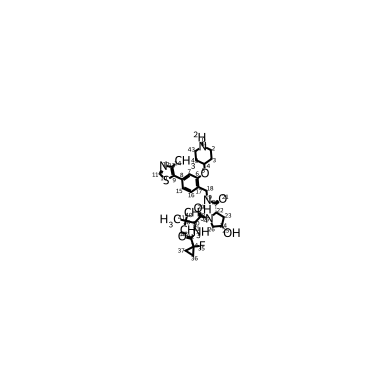 [2H]N1CCC(Oc2cc(-c3scnc3C)ccc2CNC(=O)[C@@H]2C[C@@H](O)CN2C(=O)[C@@H](NC(=O)C2(F)CC2)C(C)(C)C)CC1